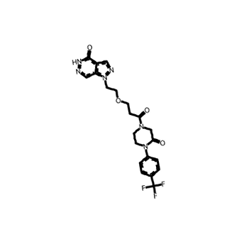 O=C(CCOCCn1ncc2c(=O)[nH]ncc21)N1CCN(c2ccc(C(F)(F)F)cc2)C(=O)C1